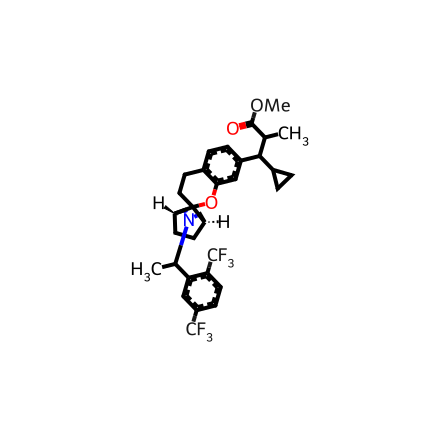 COC(=O)C(C)C(c1ccc2c(c1)OC1(CC2)[C@@H]2CC[C@H]1CN(C(C)c1cc(C(F)(F)F)ccc1C(F)(F)F)C2)C1CC1